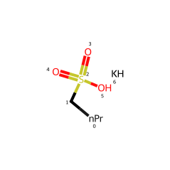 CCCCS(=O)(=O)O.[KH]